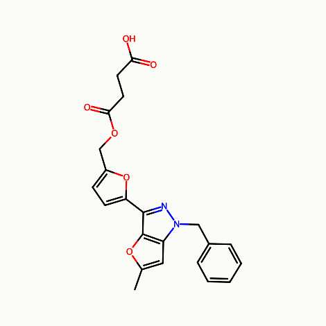 Cc1cc2c(o1)c(-c1ccc(COC(=O)CCC(=O)O)o1)nn2Cc1ccccc1